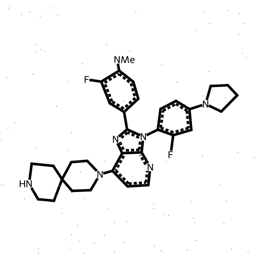 CNc1ccc(-c2nc3c(N4CCC5(CCNCC5)CC4)ccnc3n2-c2ccc(N3CCCC3)cc2F)cc1F